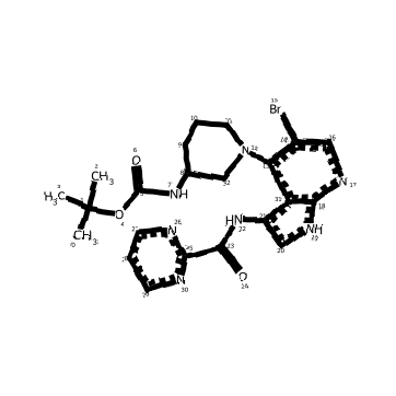 CC(C)(C)OC(=O)NC1CCCN(c2c(Br)cnc3[nH]cc(NC(=O)c4ncccn4)c23)C1